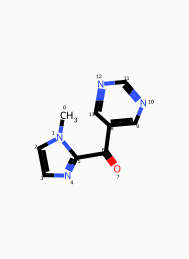 Cn1ccnc1C(=O)c1cncnc1